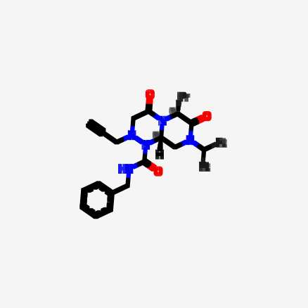 C#CCN1CC(=O)N2[C@@H](C(C)C)C(=O)N(C(CC)CC)C[C@@H]2N1C(=O)NCc1ccccc1